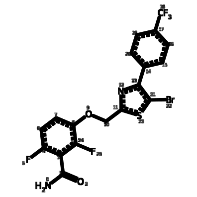 NC(=O)c1c(F)ccc(OCc2nc(-c3ccc(C(F)(F)F)cc3)c(Br)s2)c1F